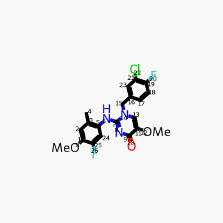 COc1cc(C)c(Nc2nc(=O)c(OC)cn2Cc2ccc(F)c(Cl)c2)cc1F